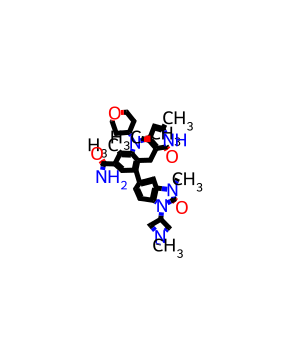 CCN(c1c(C)c(C(N)=O)cc(-c2ccc3c(c2)n(C)c(=O)n3C2CN(C)C2)c1Cc1c(C)cc(C)[nH]c1=O)C1CCOCC1